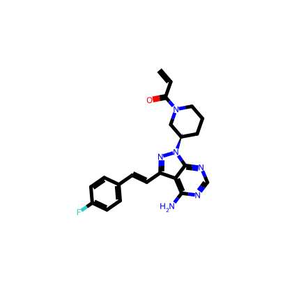 C=CC(=O)N1CCC[C@@H](n2nc(/C=C/c3ccc(F)cc3)c3c(N)ncnc32)C1